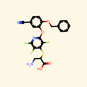 N#Cc1ccc(OCc2ccccc2)c(Oc2nc(F)c(F)c(SC(CN)C(=O)O)c2F)c1